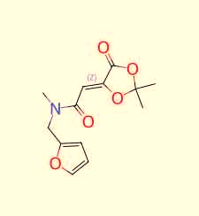 CN(Cc1ccco1)C(=O)/C=C1\OC(C)(C)OC1=O